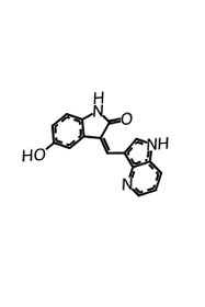 O=C1Nc2ccc(O)cc2C1=Cc1c[nH]c2cccnc12